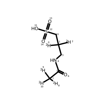 [2H]C([2H])(CNC(=O)C([2H])([2H])[2H])CS(=O)(=O)O